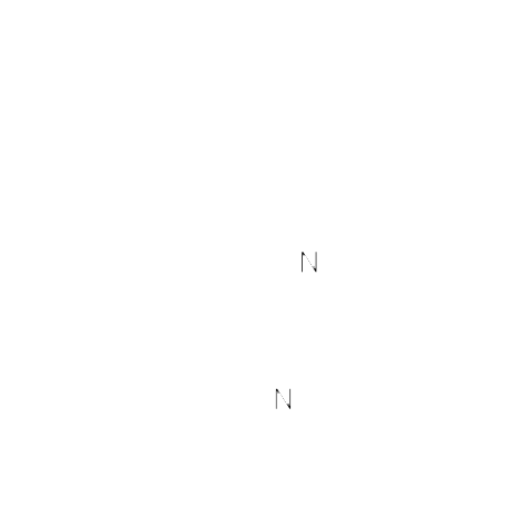 CC(C)C(C)Cc1ncccn1